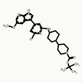 COc1cnc2[nH]cc(-c3cc(Cl)nc(NC4CCC(C5CCN(C(=O)OC(C)(C)C)CC5)CC4)c3)c2c1